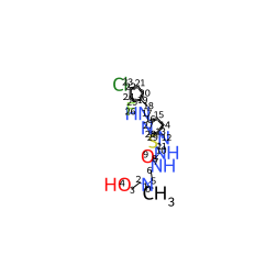 CN(CCO)CCNC(=O)Nc1nc2ccc(NCc3ccc(Cl)cc3F)nc2s1